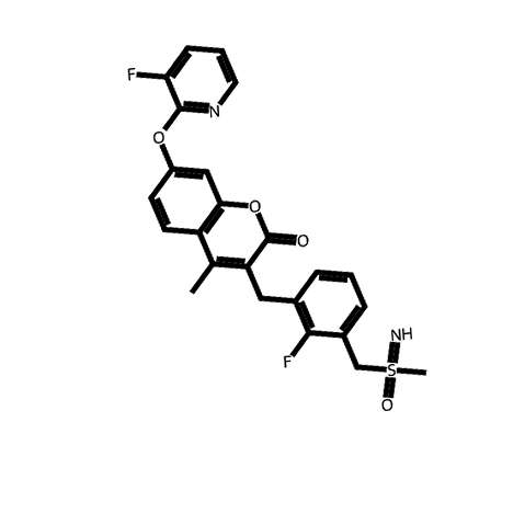 Cc1c(Cc2cccc(CS(C)(=N)=O)c2F)c(=O)oc2cc(Oc3ncccc3F)ccc12